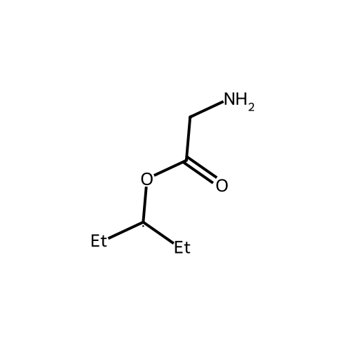 CC[C](CC)OC(=O)CN